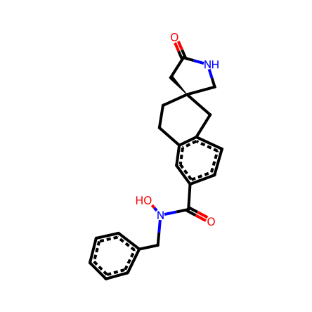 O=C1C[C@@]2(CCc3cc(C(=O)N(O)Cc4ccccc4)ccc3C2)CN1